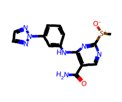 C[S+]([O-])c1ncc(C(N)=O)c(Nc2cccc(-n3nccn3)c2)n1